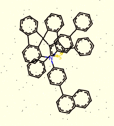 c1ccc(-c2ccc(N(c3ccc(-c4cccc5ccccc45)cc3)c3cccc4c3C3(c5ccccc5-4)c4ccccc4-c4c(-c5ccccc5)sc(-c5ccccc5)c43)cc2)cc1